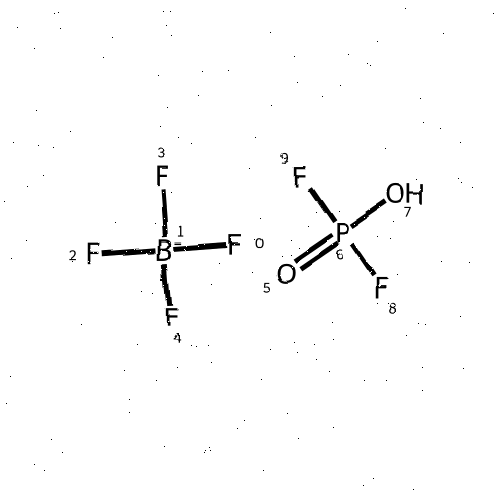 F[B-](F)(F)F.O=P(O)(F)F